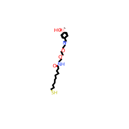 CB(O)c1ccc(/C=N/CCOCCOCCNC(=O)CCCCCCCCCCS)cc1